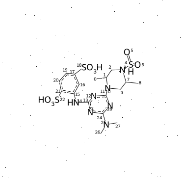 CC1CN([SH](=O)=O)C(C)CN1c1nc(Nc2cc(S(=O)(=O)O)ccc2S(=O)(=O)O)nc(N(C)C)n1